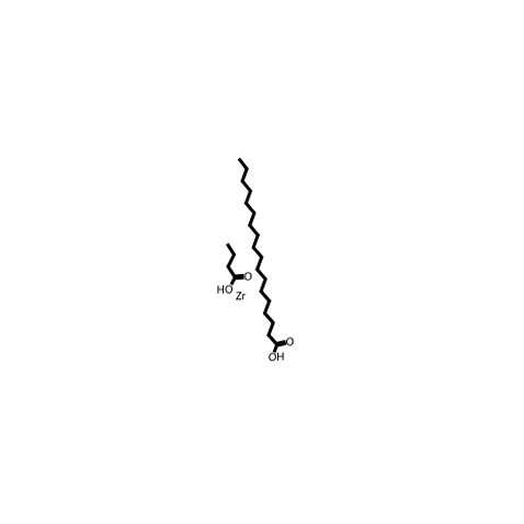 CCCC(=O)O.CCCCCCCCCCCCCCCCCC(=O)O.[Zr]